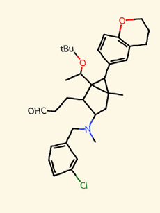 CC(OC(C)(C)C)C12C(CCC=O)C(N(C)Cc3cccc(Cl)c3)CC1(C)C2c1ccc2c(c1)CCCO2